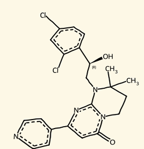 CC1(C)CCn2c(nc(-c3ccncc3)cc2=O)N1C[C@H](O)c1ccc(Cl)cc1Cl